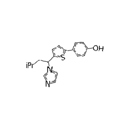 CC(C)CC(c1ccc(-c2ccc(O)cc2)s1)n1ccnc1